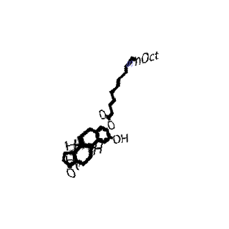 CCCCCCCC/C=C\CCCCCCCC(=O)Oc1cc2c(cc1O)[C@H]1CC[C@]3(C)C(=O)CC[C@H]3[C@@H]1CC2